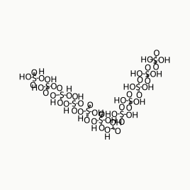 O=C(O)O.O=S(=O)(O)O.O=S(=O)(O)O.O=S(=O)(O)O.O=S(=O)(O)O.O=S(=O)(O)O.O=S(=O)(O)O.O=S(=O)(O)O.O=S(=O)(O)O.O=S(=O)(O)O.O=S(=O)(O)O.O=S(=O)(O)O